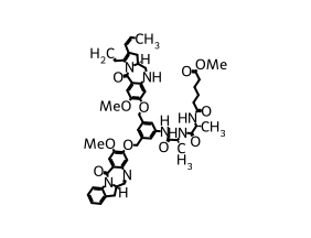 C=CC1=C(/C=C\C)C[C@H]2CNc3cc(OCc4cc(COc5cc6c(cc5OC)C(=O)N5c7ccccc7C[C@H]5C=N6)cc(NC(=O)[C@H](C)NC(=O)[C@H](C)NC(=O)CCCCC(=O)OC)c4)c(OC)cc3C(=O)N12